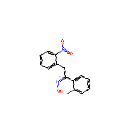 O=[N+]([O-])c1ccccc1C/C(=N/O)c1ccccc1F